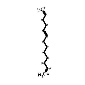 [CH]=CCCC=CCCCCCC=C